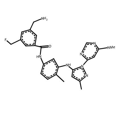 CNc1cc(-n2nc(C)cc2Nc2cc(NC(=O)c3cc(CN)cc(CF)c3)ccc2C)ncn1